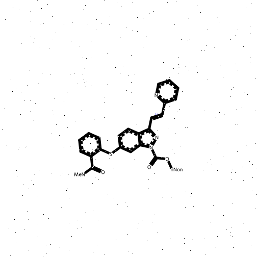 CCCCCCCCCOC(=O)n1nc(/C=C/c2ccccn2)c2ccc(Sc3ccccc3C(=O)NC)cc21